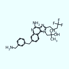 CC(C)(O)Cn1c(CCCC(F)(F)F)nc2c(N)nc3cc(Cc4cccc(CN)c4)ccc3c21